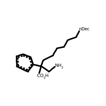 CCCCCCCCCCCCCCCCC(CN)(C(=O)O)c1ccccc1